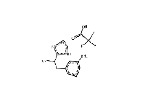 CC(Cc1cccc(N)c1)c1ncc[nH]1.O=C(O)C(F)(F)F